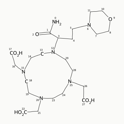 NC(=O)C(CCN1CCOCC1)N1CCN(CC(=O)O)CCN(CC(=O)O)CCN(CC(=O)O)CC1